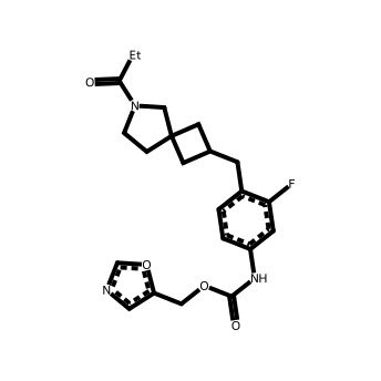 CCC(=O)N1CCC2(CC(Cc3ccc(NC(=O)OCc4cnco4)cc3F)C2)C1